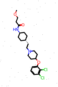 COCCC(=O)N[C@H]1CC[C@H](CCN2CCC(Oc3cccc(Cl)c3Cl)CC2)CC1